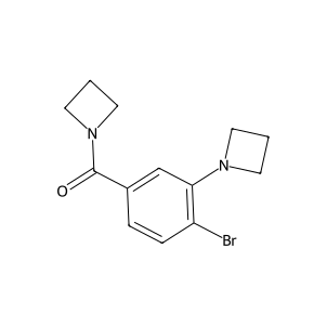 O=C(c1ccc(Br)c(N2CCC2)c1)N1CCC1